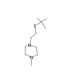 CN1CCN(CCSC(C)(C)C)CC1